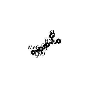 COc1cc(S(=O)(=O)c2ccc(CCN(Cc3ccccc3)C[C@H](O)c3ccc(Cl)nc3)cc2)cc(C(N)=O)c1OCc1ccccc1